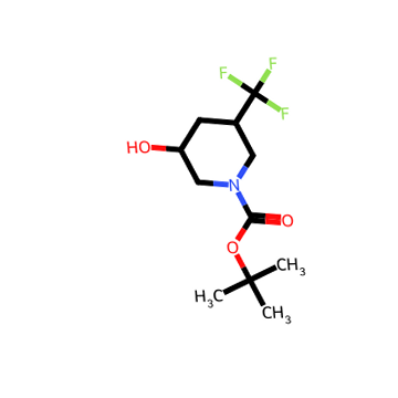 CC(C)(C)OC(=O)N1CC(O)CC(C(F)(F)F)C1